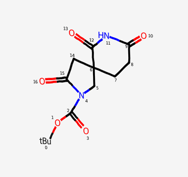 CC(C)(C)OC(=O)N1CC2(CCC(=O)NC2=O)CC1=O